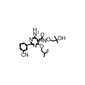 CC(F)COc1nc(-c2cccc(C#N)c2)nc(N)c1C(=O)NOCC(C)(C)O